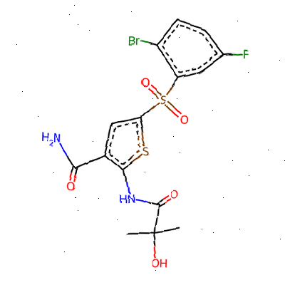 CC(C)(O)C(=O)Nc1sc(S(=O)(=O)c2cc(F)ccc2Br)cc1C(N)=O